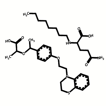 CC(OC(C)c1ccc(OCCN2CCSc3ccccc32)cc1)C(=O)O.CCCCCCCCNC(CCC(N)=O)C(=O)O